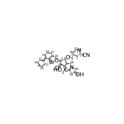 N#Cc1cc(COc2cc(OCc3cccc(-c4ccccc4)c3Br)c(Cl)cc2CN2C[C@@H](O)C[C@H]2C(=O)O)ccn1